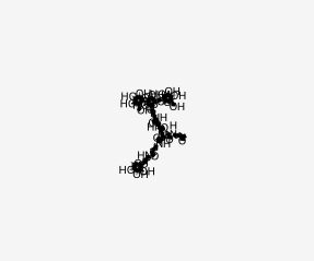 CC(=O)CCNC(=O)CN(CC(=O)NCCCC(=O)NCCO[C@@H]1O[C@@H](C)[C@@H](O)[C@@H](O)[C@@H]1O)CC(=O)NCC(=O)NCCO[C@H]1O[C@H](CO[C@H]2O[C@H](CO)[C@@H](O)[C@H](O)[C@@H]2O)[C@@H](O)[C@H](O[C@H]2O[C@H](CO)[C@@H](O)[C@H](O)[C@@H]2O)[C@@H]1O